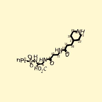 CCCS(=O)(=O)N[C@@H](CNC(=O)CCNC(=O)CCC1CCNCC1)C(=O)O